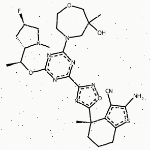 C[C@H](Oc1nc(-c2noc([C@@]3(C)CCCc4sc(N)c(C#N)c43)n2)nc(N2CCOCC(C)(O)C2)n1)[C@@H]1C[C@@H](F)CN1C